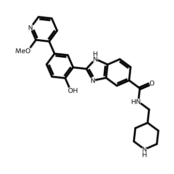 COc1ncccc1-c1ccc(O)c(-c2nc3cc(C(=O)NCC4CCNCC4)ccc3[nH]2)c1